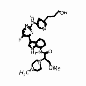 COCC(C(=O)Nc1cccc2c(-c3nc(Nc4cncc(CCCO)c4)ncc3F)c[nH]c12)N1CCN(C)CC1